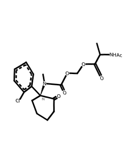 CC(=O)NC(C)C(=O)OCOC(=O)N(C)[C@]1(c2ccccc2Cl)CCCCC1=O